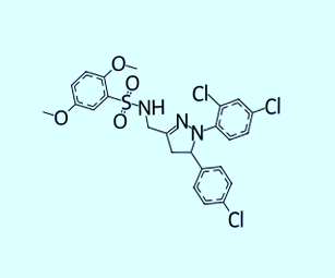 COc1ccc(OC)c(S(=O)(=O)NCC2=NN(c3ccc(Cl)cc3Cl)C(c3ccc(Cl)cc3)C2)c1